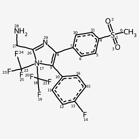 CS(=O)(=O)c1ccc(C2=C(c3ccc(F)cc3)[N+](C(F)(F)F)(C(F)(F)F)C(CN)=N2)cc1